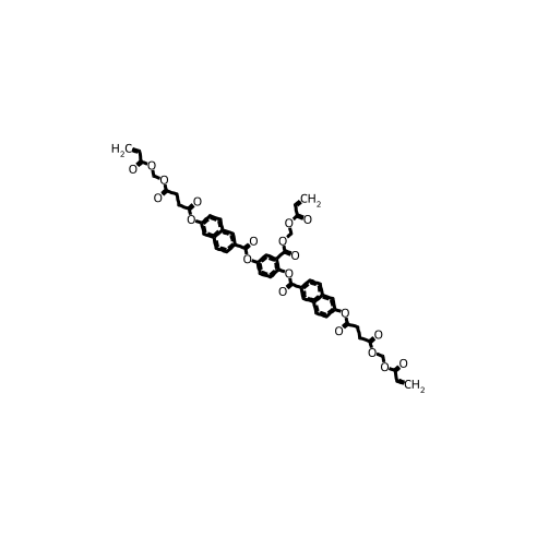 C=CC(=O)OCOC(=O)CCC(=O)Oc1ccc2cc(C(=O)Oc3ccc(OC(=O)c4ccc5cc(OC(=O)CCC(=O)OCOC(=O)C=C)ccc5c4)c(C(=O)OCOC(=O)C=C)c3)ccc2c1